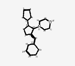 C(=C1/CCC(C2CCCC2)C1N1CCOCC1)/C1CCCCC1